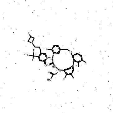 Cc1ccc2c(c1C)-c1cc(C)c(F)c(c1)[C@H](CC(=O)O)NC(=O)[C@@H](n1cc(CCN3CC(F)C3)c(C(F)(F)F)cc1=O)c1cc(ccc1F)CO2